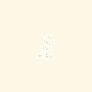 CCOc1nn(C(=O)NS(=O)(=O)Oc2ccccc2OC)c(=O)n1C